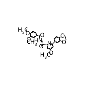 COc1cc(C(=O)CNC(=O)c2ccc(OC)c(OC)c2)nc(-c2ccc3c(c2)OCCO3)c1